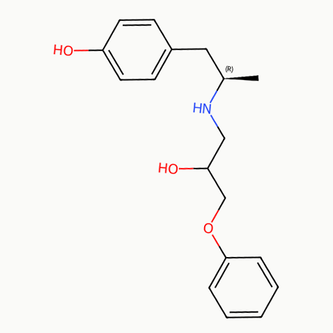 C[C@H](Cc1ccc(O)cc1)NCC(O)COc1ccccc1